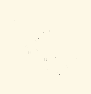 CC(C)NC[C@@H](C(=O)N1CCN(c2ncnc3c2[C@H](C)CC(=O)N3)[C@H]2CC[C@H]21)c1ccc(Cl)cc1